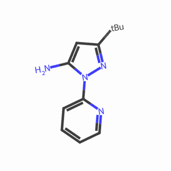 CC(C)(C)c1cc(N)n(-c2ccccn2)n1